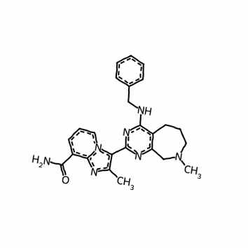 Cc1nc2c(C(N)=O)cccn2c1-c1nc2c(c(NCc3ccccc3)n1)CCCN(C)C2